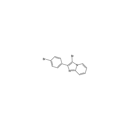 Brc1ccc(-c2nc3ccccn3c2Br)cc1